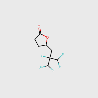 O=C1CCC(CC(F)(C(F)F)C(F)F)O1